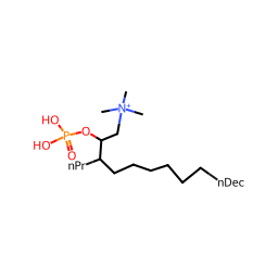 CCCCCCCCCCCCCCCCC(CCC)C(C[N+](C)(C)C)OP(=O)(O)O